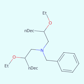 CCCCCCCCCCC(CN(Cc1ccccc1)CC(CCCCCCCCCC)OCC)OCC